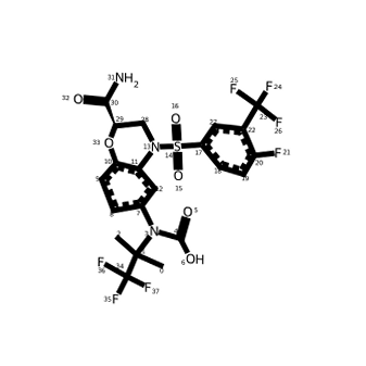 CC(C)(N(C(=O)O)c1ccc2c(c1)N(S(=O)(=O)c1ccc(F)c(C(F)(F)F)c1)C[C@H](C(N)=O)O2)C(F)(F)F